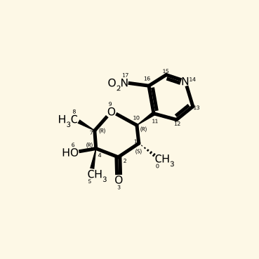 C[C@@H]1C(=O)[C@](C)(O)[C@@H](C)O[C@H]1c1ccncc1[N+](=O)[O-]